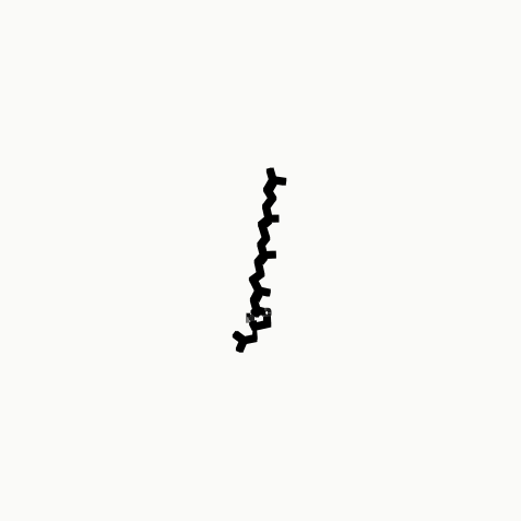 CC(C)=CCC/C(C)=C/CC/C(C)=C/CC/C(C)=C/C1=N[C@H](CC(C)C)CO1